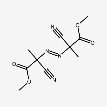 COC(=O)C(C)(C#N)/N=N/C(C)(C#N)C(=O)OC